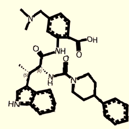 C[C@@H](c1c[nH]c2ccccc12)[C@@H](NC(=O)N1CCC(c2ccccc2)CC1)C(=O)Nc1cc(CN(C)C)ccc1C(=O)O